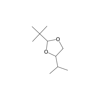 CC(C)C1COC(C(C)(C)C)O1